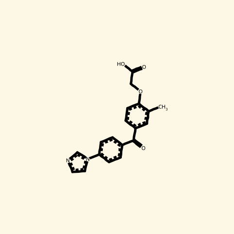 Cc1cc(C(=O)c2ccc(-n3ccnc3)cc2)ccc1OCC(=O)O